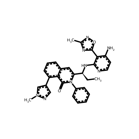 CC[C@H](Nc1nccc(N)c1-c1nc(C)no1)c1cc2cccc(-c3cnn(C)c3)c2c(=O)n1-c1ccccc1